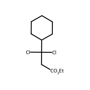 CCOC(=O)CC(Cl)(Cl)C1CCCCC1